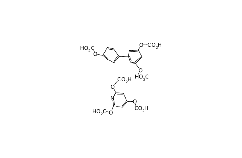 O=C(O)Oc1cc(OC(=O)O)nc(OC(=O)O)c1.O=C(O)Oc1ccc(-c2cc(OC(=O)O)cc(OC(=O)O)c2)cc1